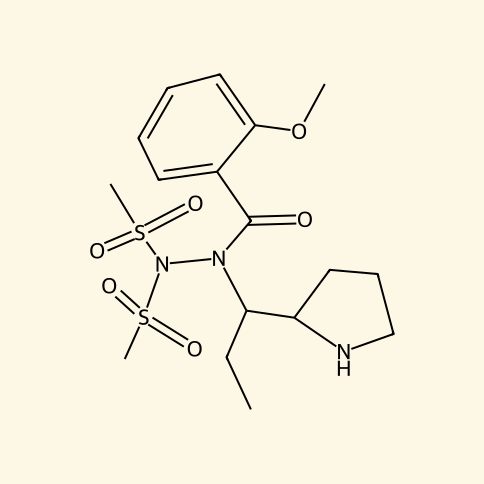 CCC(C1CCCN1)N(C(=O)c1ccccc1OC)N(S(C)(=O)=O)S(C)(=O)=O